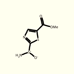 COC(=O)c1cnc([S+](N)[O-])s1